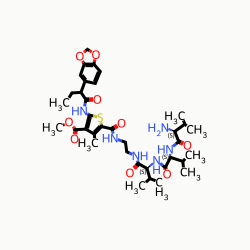 CCC(C(=O)Nc1sc(C(=O)NCCNC(=O)[C@@H](NC(=O)[C@@H](NC(=O)[C@@H](N)C(C)C)C(C)C)C(C)C)c(C)c1C(=O)OC)c1ccc2c(c1)OCO2